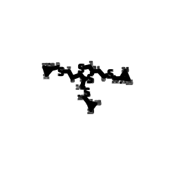 C(CC1CSC(CCSCC2CC2)C(CSCC2CC2)S1)SCC1CC1